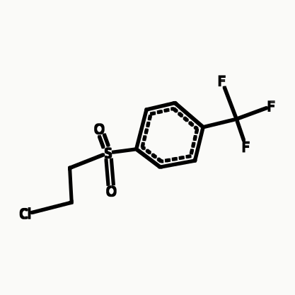 O=S(=O)(CCCl)c1ccc(C(F)(F)F)cc1